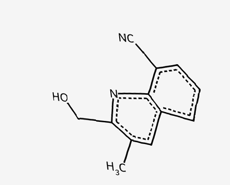 Cc1cc2cccc(C#N)c2nc1CO